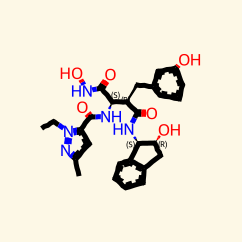 CCn1nc(C)cc1C(=O)N[C@H](C(=O)NO)[C@@H](Cc1cccc(O)c1)C(=O)N[C@H]1c2ccccc2C[C@H]1O